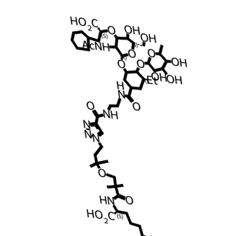 CC[C@@H]1CC(C(=O)NCCNC(=O)c2cn(CCC(C)(C)OCC(C)(C)C(=O)N[C@@H](CCCCNC(C)=O)C(=O)O)nn2)CC(O[C@@H]2O[C@@H](CO)C(O)C(O[C@@H](CC3CCCCC3)C(=O)O)C2NC(C)=O)C1OC1OC(C)C(O)C(O)C1O